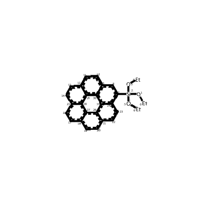 CCO[Si](OCC)(OCC)c1cc2ccc3ccc4ccc5ccc6ccc1c1c6c5c4c3c21